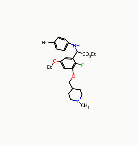 CCOC(=O)C(Nc1ccc(C#N)cc1)c1cc(OCC)cc(OCC2CCN(C)CC2)c1F